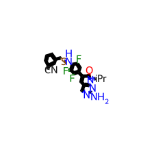 CC(C)n1c(=O)c(-c2cc(F)c(NSCc3cccc(C#N)c3)c(F)c2F)cc2cnc(N)nc21